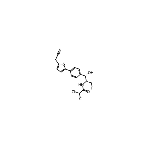 N#CCc1ccc(-c2ccc([C@H](O)[C@@H](CF)NC(=O)C(Cl)Cl)cc2)s1